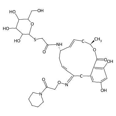 C[C@@H]1C/C=C/[C@@H](NC(=O)CSC2OC(CO)C(O)C(O)C2O)C/C=C/C(=N\OCC(=O)N2CCCCC2)Cc2cc(O)cc(O)c2C(=O)O1